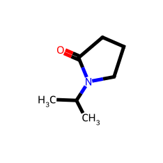 CC(C)N1CCCC1=O